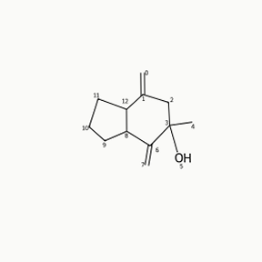 C=C1CC(C)(O)C(=C)C2CCCC12